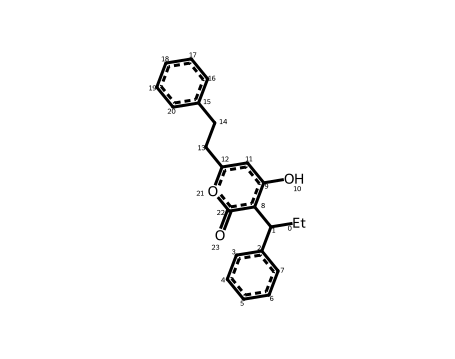 CCC(c1ccccc1)c1c(O)cc(CCc2ccccc2)oc1=O